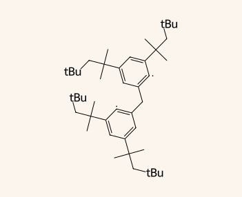 CC(C)(C)CC(C)(C)c1[c]c(Cc2[c]c(C(C)(C)CC(C)(C)C)cc(C(C)(C)CC(C)(C)C)c2)cc(C(C)(C)CC(C)(C)C)c1